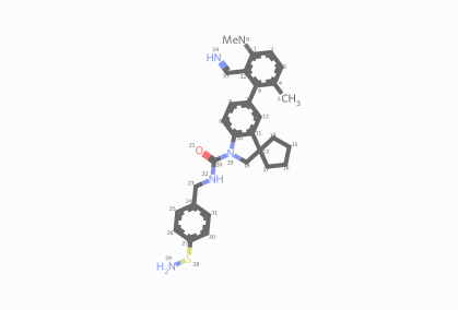 CNc1ccc(C)c(-c2ccc3c(c2)C2(CCCC2)CN3C(=O)NCc2ccc(SN)cc2)c1C=N